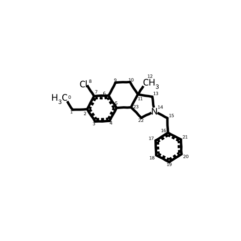 CCc1ccc2c(c1Cl)CCC1(C)CN(Cc3ccccc3)CC21